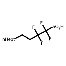 CCCCCCCCCC(F)(F)C(F)(F)S(=O)(=O)O